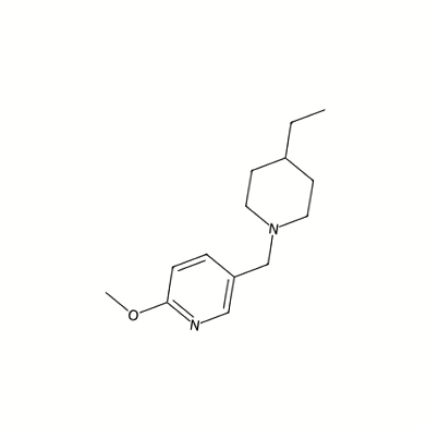 CCC1CCN(Cc2ccc(OC)nc2)CC1